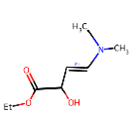 CCOC(=O)C(O)/C=C/N(C)C